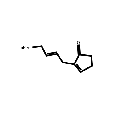 CCCCCCC=CCC1=CCCC1=O